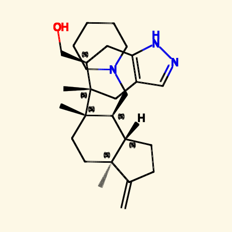 C=C1CC[C@H]2[C@H](CN3CCCCC3)[C@@](C)([C@@]3(C)Cc4cn[nH]c4C[C@@H]3CO)CC[C@]12C